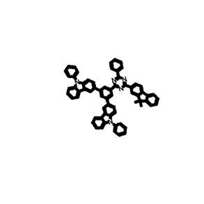 CC1(C)c2ccccc2-c2ccc(-c3nc(-c4ccccc4)nc(-c4cc(-c5ccc6c(c5)c5ccccc5n6-c5ccccc5)cc(-c5ccc6c(c5)c5ccccc5n6-c5ccccc5)c4)n3)cc21